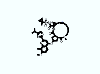 COc1ccc2c(OC3CC4C(=O)NC5(C(=O)NS(=O)(=O)C6(C)CC6)CC5/C=C\CCCCN(C)C(=O)C4C3)cc(-c3nc(C(C)C)cs3)nc2c1C